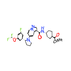 COC(=O)[C@H]1CC[C@H](NC(=O)c2cnn3ccc(N4CCC[C@@H]4c4cc(F)cc(OC(F)F)c4)cc23)CC1